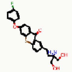 NC(CO)(CO)CCc1ccc2sc3cc(Oc4ccc(F)cc4)ccc3c(=O)c2c1